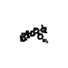 Cc1cc([C@@H]2C[C@H](C(F)(F)F)CCN2C2CCOc3cc(S(=O)(=O)Nc4ncns4)ccc32)n(C)n1